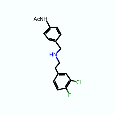 CC(=O)Nc1ccc(CNCCc2ccc(F)c(Cl)c2)cc1